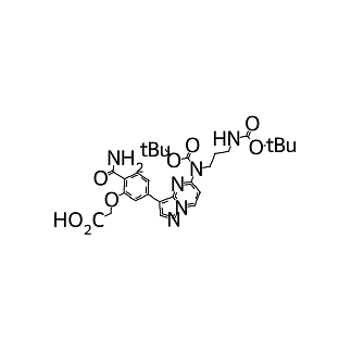 CC(C)(C)OC(=O)NCCCN(C(=O)OC(C)(C)C)c1ccn2ncc(-c3ccc(C(N)=O)c(OCC(=O)O)c3)c2n1